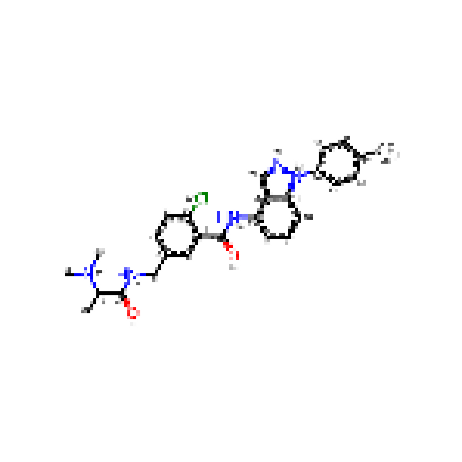 CC(C(=O)NCc1ccc(Cl)c(C(=O)Nc2cccc3c2cnn3-c2ccc(C(F)(F)F)cc2)c1)N(C)C